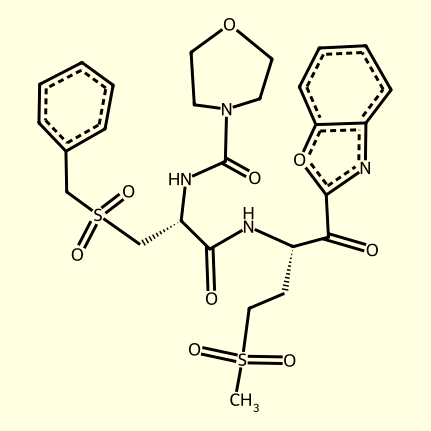 CS(=O)(=O)CC[C@H](NC(=O)[C@H](CS(=O)(=O)Cc1ccccc1)NC(=O)N1CCOCC1)C(=O)c1nc2ccccc2o1